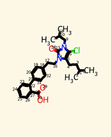 CC(C)CCc1c(Cl)n(CC(C)C)c(=O)n1CCc1ccc(-c2ccccc2C(=O)O)cc1